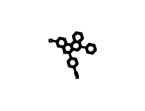 N#Cc1ccc(-c2nc3cc(Cl)ccc3c3c2cc(-c2ccccc2)c2ccccc23)cc1